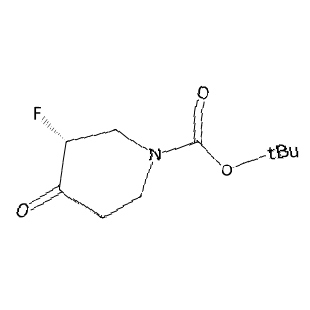 CC(C)(C)OC(=O)N1CCC(=O)[C@H](F)C1